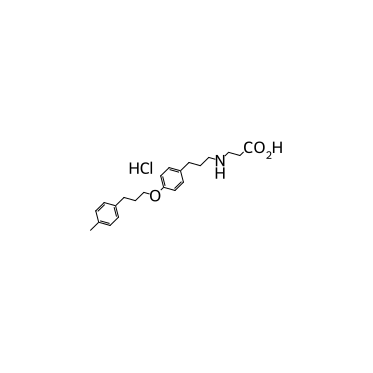 Cc1ccc(CCCOc2ccc(CCCNCCC(=O)O)cc2)cc1.Cl